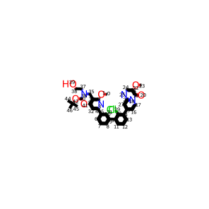 COc1nc(-c2cccc(-c3cccc(-c4ccn5c(=O)c(OC)cnc5c4)c3Cl)c2Cl)ccc1CN(CCO)C(=O)OC(C)(C)C